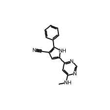 CNc1cc(-c2cc(C#N)c(-c3ccccc3)[nH]2)ncn1